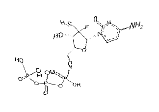 CC1(F)[C@@H](O)[C@@H](COP(=O)(O)OP(=O)(O)OP(=O)(O)O)O[C@H]1n1ccc(N)nc1=O